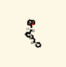 O=C(NCC12CC3CC(CC(C3)C1)C2)c1cccc2nc(CC(=O)N3CCCCC3)cn12